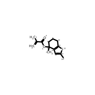 C=C(C)C(=O)OC1(C)CCCc2sc(I)cc21